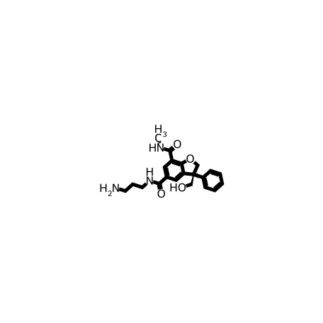 CNC(=O)c1cc(C(=O)NCCCN)cc2c1OC[C@]2(CO)c1ccccc1